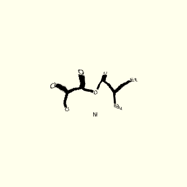 CCCCC(CC)C(=O)OC(=O)C(Cl)Cl.[Ni]